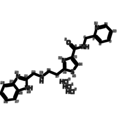 Cl.Cl.Cl.O=C(NCc1ccccn1)c1csc(CCNCc2nc3ccccc3[nH]2)n1